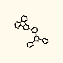 C1=C(c2cccc(-c3ccc4c(c3)c3ccccc3c3nccnc43)c2)C=C(c2ccccc2)NC1c1ccccc1